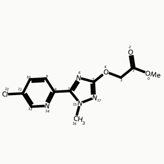 COC(=O)COc1nc(-c2ccc(Cl)cn2)n(C)n1